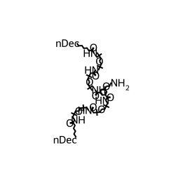 CCCCCCCCCCCCCCCC(=O)NCC(C)(C)COCC(C)(C)CNC(=O)CC(C)(C)COCC(C)(C)CNC(=O)c1cc(OCCN)cc(C(=O)NCC(C)(C)COCC(C)(C)CC(=O)NCC(C)(C)COCC(C)(C)CNC(=O)CCCCCCCCCCCCCCC)c1